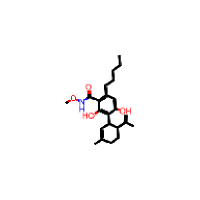 C=C(C)C1CCC(C)=CC1c1c(O)cc(CCCCC)c(C(=O)NOC)c1O